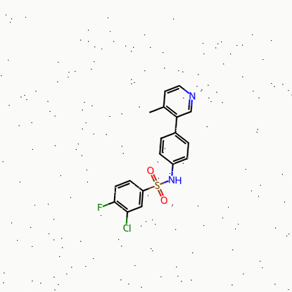 Cc1ccncc1-c1ccc(NS(=O)(=O)c2ccc(F)c(Cl)c2)cc1